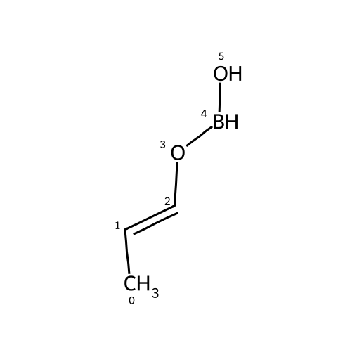 CC=COBO